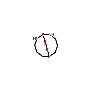 C1CNP2NCCCN(C1)CCCN2